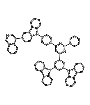 c1ccc(-c2nc(-c3ccc(-n4c5ccccc5c5cc(-c6cncc7ccccc67)ccc54)cc3)cc(-c3cc(-n4c5ccccc5c5ccccc54)cc(-n4c5ccccc5c5ccccc54)c3)n2)cc1